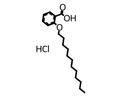 CCCCCCCCCCCCOc1ccccc1C(=O)O.Cl